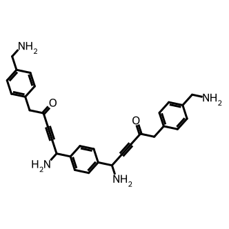 NCc1ccc(CC(=O)C#CC(N)c2ccc(C(N)C#CC(=O)Cc3ccc(CN)cc3)cc2)cc1